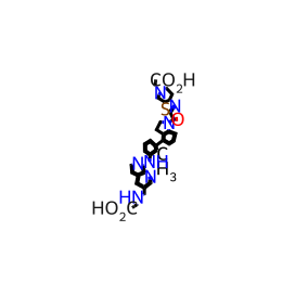 Cc1c(Nc2nccc3cc(CNCC(=O)O)cnc23)cccc1-c1cccc2c1CCN2C(=O)C1=NC2CCN(CC(=O)O)CC2S1